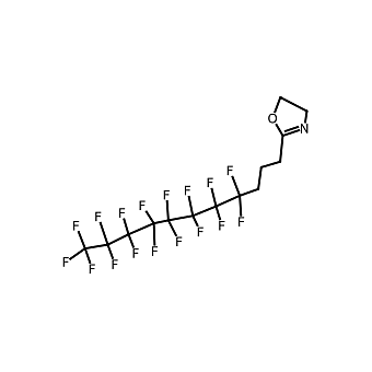 FC(F)(F)C(F)(F)C(F)(F)C(F)(F)C(F)(F)C(F)(F)C(F)(F)C(F)(F)CCCC1=NCCO1